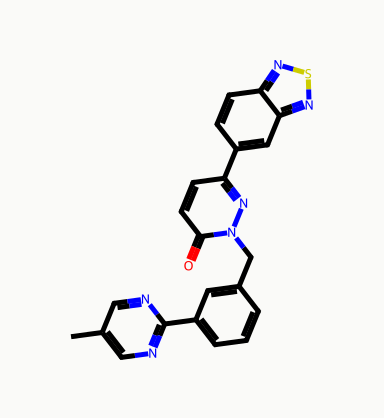 Cc1cnc(-c2cccc(Cn3nc(-c4ccc5nsnc5c4)ccc3=O)c2)nc1